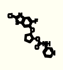 O=C(Nc1cccnc1)O[C@H]1CCC[C@H]1Oc1cc2sc(Cl)nc2cc1F